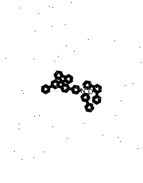 c1ccc(-c2ccc(N(c3ccc(-c4ccc5c(c4)C4(c6ccccc6-c6ccccc64)c4ccc(-c6ccccc6)cc4-5)cc3)c3cccc4c3oc3c(-c5ccccc5)cccc34)cc2)cc1